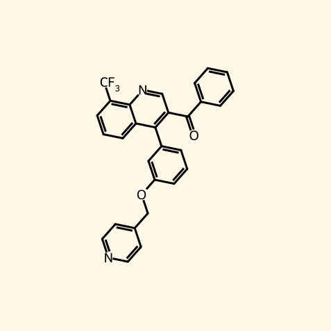 O=C(c1ccccc1)c1cnc2c(C(F)(F)F)cccc2c1-c1cccc(OCc2ccncc2)c1